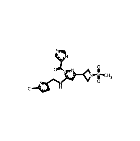 CS(=O)(=O)N1CC(c2cc(NCc3ccc(Cl)s3)n(C(=O)c3cscn3)n2)C1